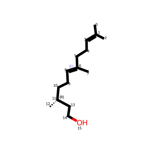 CC(C)=CCC/C(C)=C/CC[C@@H](C)CCO